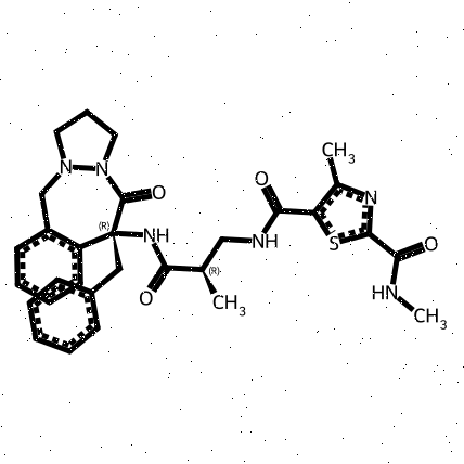 CNC(=O)c1nc(C)c(C(=O)NC[C@@H](C)C(=O)N[C@@]2(Cc3ccccc3)C(=O)N3CCCN3Cc3ccccc32)s1